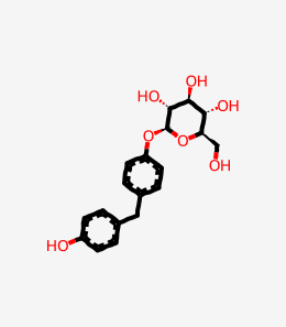 OC[C@H]1O[C@@H](Oc2ccc(Cc3ccc(O)cc3)cc2)[C@H](O)[C@@H](O)[C@@H]1O